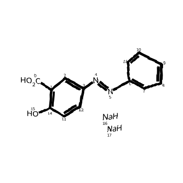 O=C(O)c1cc(N=Nc2ccccc2)ccc1O.[NaH].[NaH]